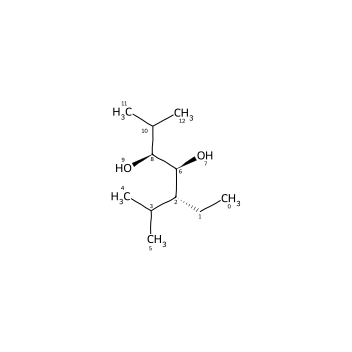 CC[C@H](C(C)C)[C@H](O)[C@@H](O)C(C)C